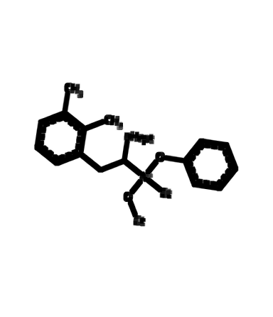 CCCCCCCC(Cc1cccc(C)c1C)[N+](CC)(OCC)Oc1ccccc1